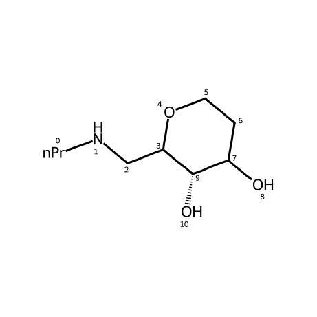 CCCNCC1OCCC(O)[C@@H]1O